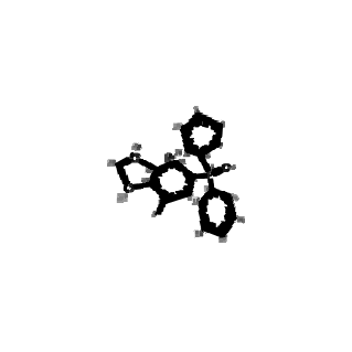 Cc1cc(P(=O)(c2ccccc2)c2ccccc2)c(Br)c2c1OCO2